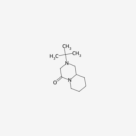 CC(C)(C)N1CC(=O)N2CCCCC2C1